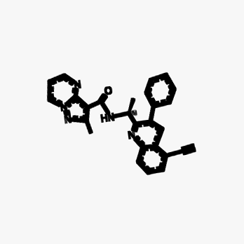 C#Cc1cccc2nc([C@H](C)NC(=O)c3c(C)nn4cccnc34)c(-c3ccccc3)cc12